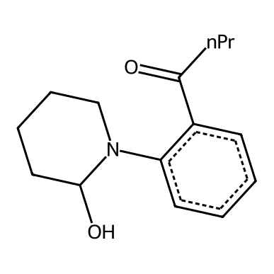 CCCC(=O)c1ccccc1N1CCCCC1O